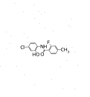 Cc1ccc(C(=O)Nc2ccc(Cl)cc2O)c(F)c1